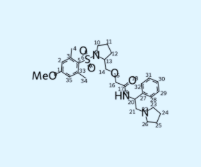 COc1cc(C)c(S(=O)(=O)N2CCCC2COCC(=O)NC(CN2CCCC2)c2ccccc2)c(C)c1